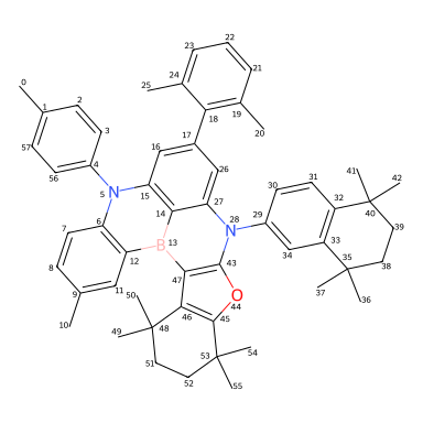 Cc1ccc(N2c3ccc(C)cc3B3c4c2cc(-c2c(C)cccc2C)cc4N(c2ccc4c(c2)C(C)(C)CCC4(C)C)c2oc4c(c23)C(C)(C)CCC4(C)C)cc1